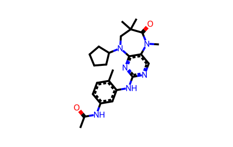 CC(=O)Nc1ccc(C)c(Nc2ncc3c(n2)N(C2CCCC2)CC(C)(C)C(=O)N3C)c1